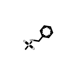 CS(=O)(=O)NCc1cc[c]cc1